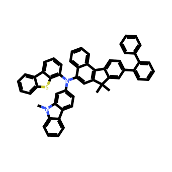 Cn1c2ccccc2c2ccc(N(c3cc4c(c5ccccc35)-c3ccc(-c5ccccc5-c5ccccc5)cc3C4(C)C)c3cccc4c3sc3ccccc34)cc21